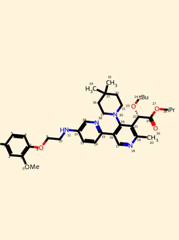 COc1cc(F)ccc1OCCNc1ccc(-c2cnc(C)c([C@H](OC(C)(C)C)C(=O)OC(C)C)c2N2CCC(C)(C)CC2)nc1